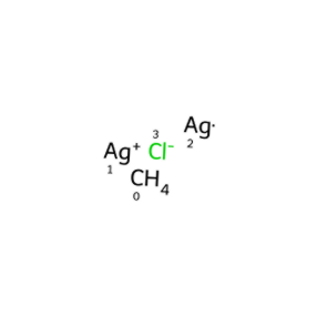 C.[Ag+].[Ag].[Cl-]